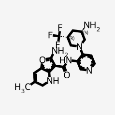 CC1=Cc2oc(N)c(C(=O)Nc3cnccc3N3C[C@@H](N)C[C@@H](C(F)(F)F)C3)c2NC1